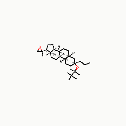 CCC[C@@]1(O[Si](C)(C)C(C)(C)C)CC[C@H]2[C@H](CC[C@@H]3[C@@H]2CC[C@]2(C)[C@@H](C4(C)CO4)CC[C@@H]32)C1